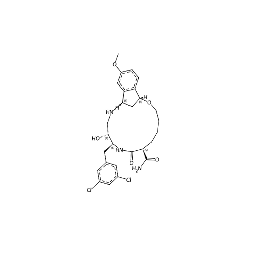 COc1ccc2c(c1)[C@@H]1C[C@H]2OCCCC[C@@H](C(N)=O)C(=O)N[C@@H](Cc2cc(Cl)cc(Cl)c2)[C@H](O)CN1